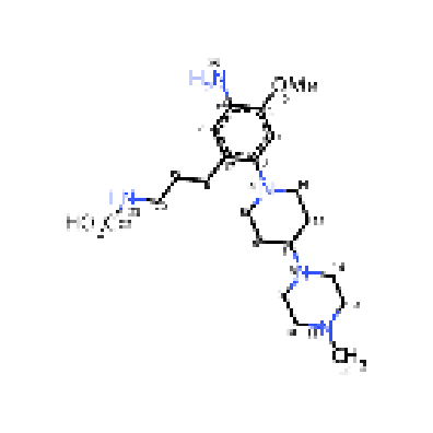 COc1cc(N2CCC(N3CCN(C)CC3)CC2)c(CCCNC(=O)O)cc1N